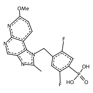 COc1ccc2c(ncc3nc(C)n(Cc4cc(F)c(P(=O)(O)O)cc4F)c32)n1